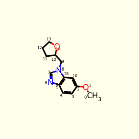 COc1ccc2ncn(CC3CCCO3)c2c1